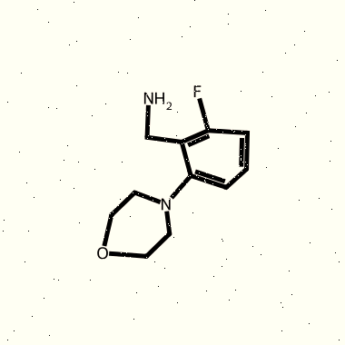 NCc1c(F)cccc1N1CCOCC1